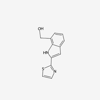 OCc1cccc2cc(-c3nccs3)[nH]c12